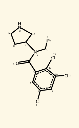 CC(C)CN(C(=O)c1cc(Cl)cc(Cl)c1Cl)C1CCNC1